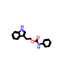 O=C(Nc1ccccc1)OCCc1c[nH]c2ccccc12